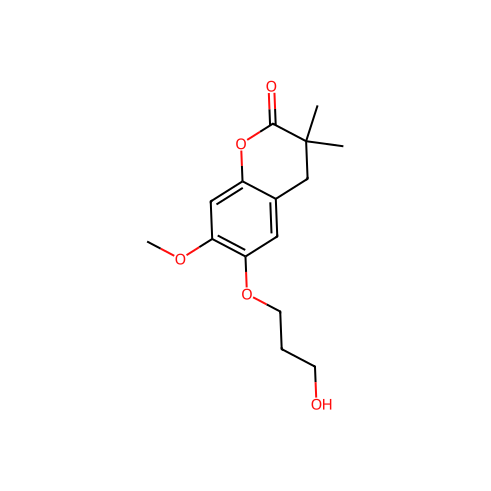 COc1cc2c(cc1OCCCO)CC(C)(C)C(=O)O2